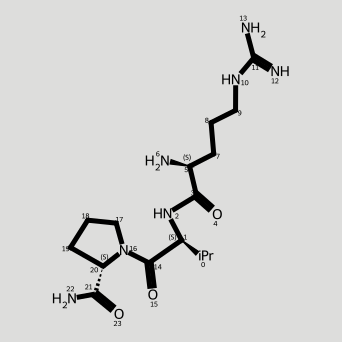 CC(C)[C@H](NC(=O)[C@@H](N)CCCNC(=N)N)C(=O)N1CCC[C@H]1C(N)=O